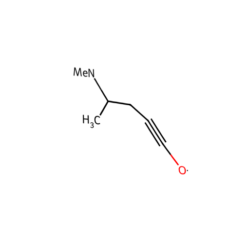 CNC(C)CC#C[O]